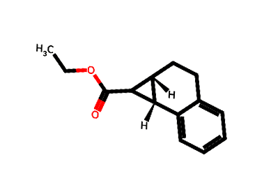 CCOC(=O)C1[C@H]2c3ccccc3CC[C@@H]12